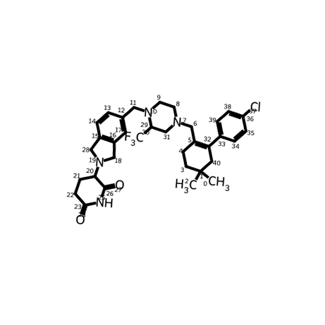 CC1(C)CCC(CN2CCN(Cc3ccc4c(c3)CN(C3CCC(=O)NC3=O)C4)C(C(F)(F)F)C2)=C(c2ccc(Cl)cc2)C1